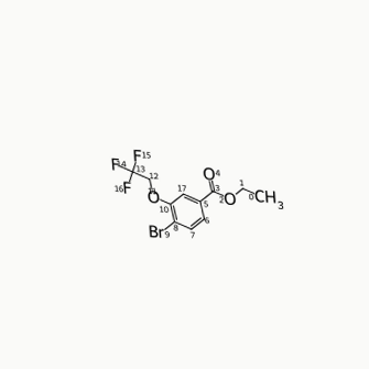 CCOC(=O)c1ccc(Br)c(OCC(F)(F)F)c1